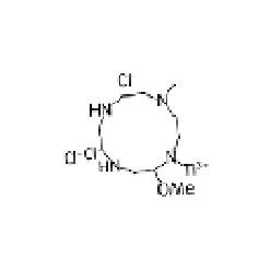 COC1CNCCNCCN(C)CC[N]1[Ti+3].[Cl-].[Cl-].[Cl-]